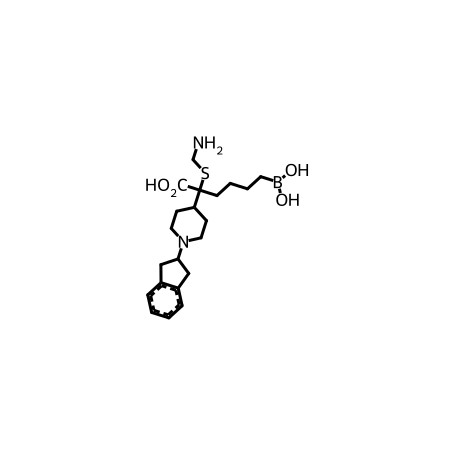 NCSC(CCCCB(O)O)(C(=O)O)C1CCN(C2Cc3ccccc3C2)CC1